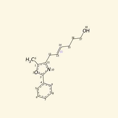 Cc1oc(-c2ccccc2)nc1C/C=C/CCCO